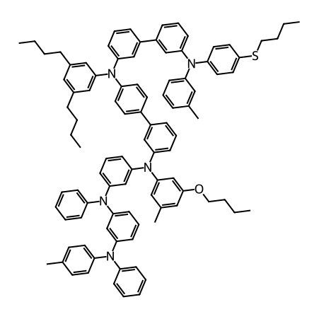 CCCCOc1cc(C)cc(N(c2cccc(-c3ccc(N(c4cc(CCCC)cc(CCCC)c4)c4cccc(-c5cccc(N(c6ccc(SCCCC)cc6)c6cccc(C)c6)c5)c4)cc3)c2)c2cccc(N(c3ccccc3)c3cccc(N(c4ccccc4)c4ccc(C)cc4)c3)c2)c1